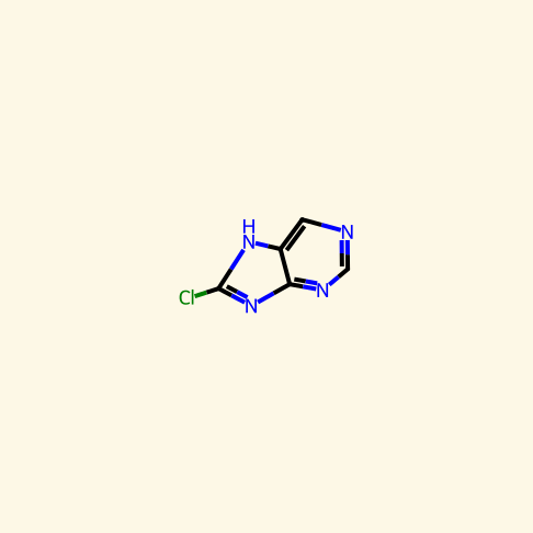 Clc1nc2ncncc2[nH]1